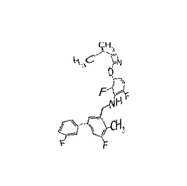 Cc1c(F)cc(-c2cccc(F)c2)cc1CNc1c(F)ccc(OC2=NC=C2C(C)C)c1F